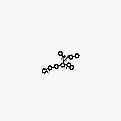 c1ccc(C2=NC(c3cc(-c4ccc(-c5ccc6c(c5)oc5ccccc56)cc4)cc4oc5c6ccccc6ccc5c34)=NC(c3ccc(-c4ccccc4)cc3)N2)cc1